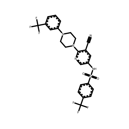 N#Cc1cc(NS(=O)(=O)c2ccc(C(F)(F)F)cc2)cnc1N1CCN(c2cccc(C(F)(F)F)c2)CC1